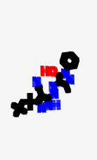 Cc1nn(-c2ccccc2)c(O)c1/N=N/c1[nH]nc(C(C)(C)CC(C)(C)C)c1C#N